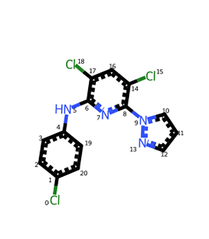 Clc1ccc(Nc2nc(-n3cccn3)c(Cl)cc2Cl)cc1